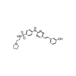 O=S(=O)(NCCN1CCCC1)c1ccc(Nc2ncc(/C=C/c3cccc(O)c3)nn2)cc1